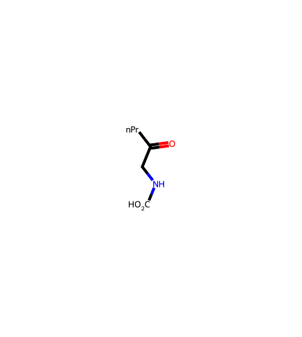 CCCC(=O)CNC(=O)O